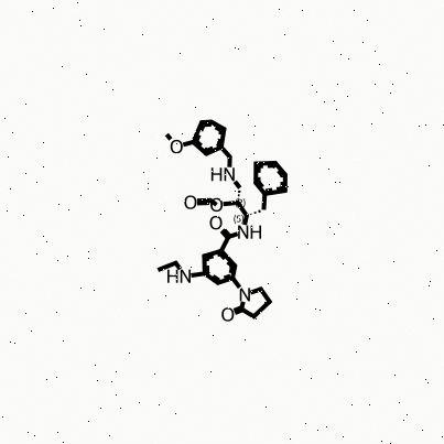 CCNc1cc(C(=O)N[C@@H](Cc2ccccc2)[C@@H](CNCc2cccc(OC)c2)OC=O)cc(N2CCCC2=O)c1